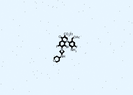 CCOC(=O)c1cn(-c2cc(N)c(F)cc2COC(C)=O)c2c(Br)c(N3CC(NC4CCOCC4)C3)c(F)cc2c1=O